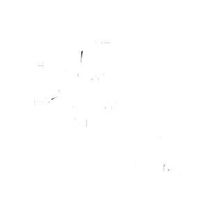 Nc1ccc(COC2O[C@H](CO)[C@@H](O)[C@H](O)[C@H]2O)cc1